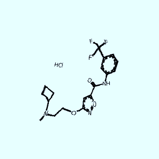 CN(CCOc1cc(C(=O)Nc2cccc(C(F)(F)F)c2)on1)C1CCC1.Cl